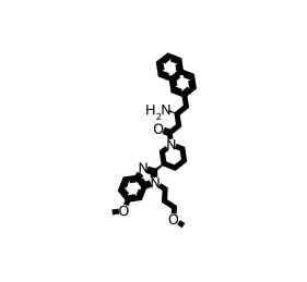 COCCCn1c([C@@H]2CCCN(C(=O)C[C@H](N)Cc3ccc4ccccc4c3)C2)nc2ccc(OC)cc21